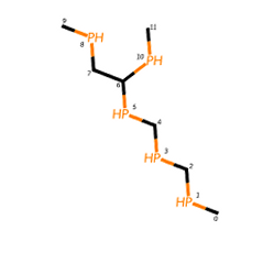 CPCPCPC(CPC)PC